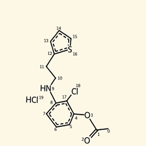 CC(=O)Oc1cccc(NCCc2cccs2)c1Cl.Cl